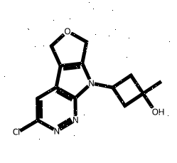 CC1(O)CC(n2c3c(c4cc(Cl)nnc42)COC3)C1